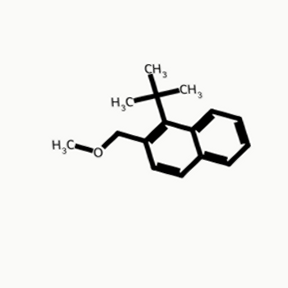 COCc1ccc2ccccc2c1C(C)(C)C